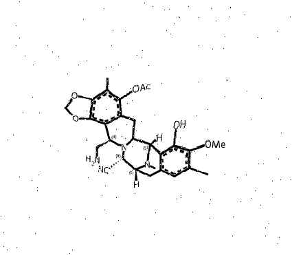 COc1c(C)cc2c(c1O)[C@H]1C3Cc4c(OC(C)=O)c(C)c5c(c4[C@H](CN)N3[C@@H](C#N)[C@@H](C2)N1C)OCO5